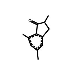 Cc1cc(C)c2c(c1)CC(C)C2=O